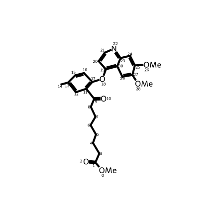 COC(=O)CCCCCCC(=O)c1cc(C)ccc1Oc1ccnc2cc(OC)c(OC)cc12